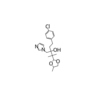 CC1COC(C(C)(C)C(O)(CCc2ccc(Cl)cc2)Cn2ccnc2)O1